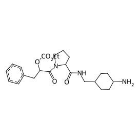 CCOC(=O)OC(Cc1ccccc1)C(=O)N1CCCC1C(=O)NCC1CCC(N)CC1